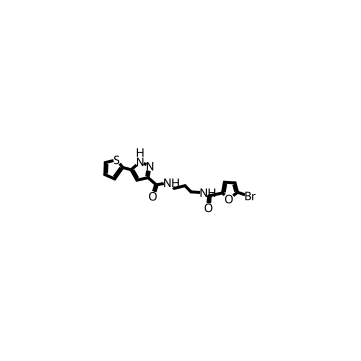 O=C(NCCCNC(=O)c1ccc(Br)o1)c1cc(-c2cccs2)[nH]n1